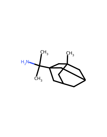 CC12CC3CC(C1)CC(C(C)(C)N)(C3)C2